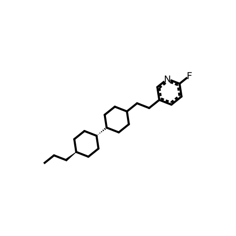 CCC[C@H]1CC[C@H](C2CCC(CCc3ccc(F)nc3)CC2)CC1